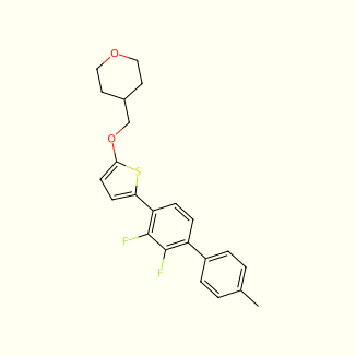 Cc1ccc(-c2ccc(-c3ccc(OCC4CCOCC4)s3)c(F)c2F)cc1